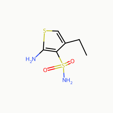 CCc1csc(N)c1S(N)(=O)=O